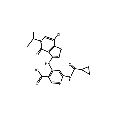 CC(C)n1cc(Cl)c2scc(Nc3cc(NC(=O)C4CC4)ncc3C(=O)O)c2c1=O